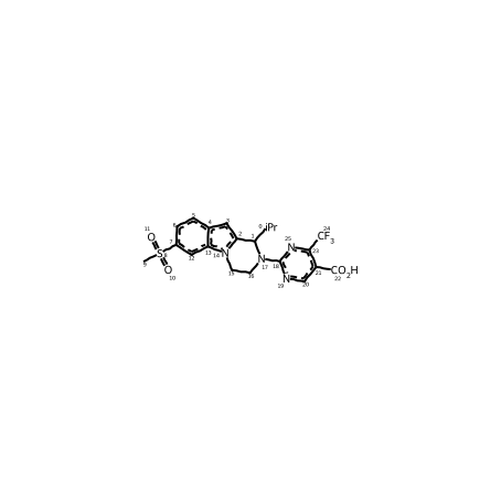 CC(C)C1c2cc3ccc(S(C)(=O)=O)cc3n2CCN1c1ncc(C(=O)O)c(C(F)(F)F)n1